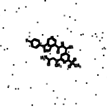 CC[C@H](NC(=O)c1cncc2c1cnn2-c1ccc(F)cc1)c1cc(N(C)CC(N)=O)nc(S(C)(=O)=O)c1